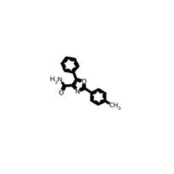 Cc1ccc(-c2nc(C(N)=O)c(-c3ccccc3)o2)cc1